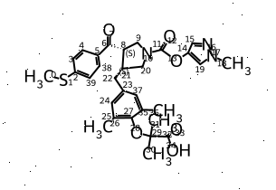 CSc1ccc(C(=O)[C@@H]2CN(C(=O)Oc3cnn(C)c3)C[C@H]2Cc2cc(C)c(OC(C)(C)C(=O)O)c(C)c2)cc1